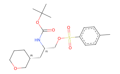 Cc1ccc(S(=O)(=O)OC[C@H](C[C@H]2CCCOC2)NC(=O)OC(C)(C)C)cc1